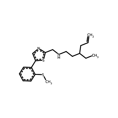 C=CCC(CC)CCNCc1ncc(-c2ccccc2SC)s1